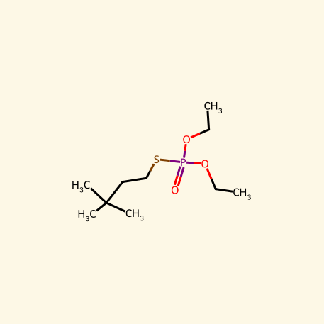 CCOP(=O)(OCC)SCCC(C)(C)C